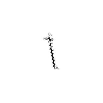 CCCCCCCCCCCCN=CCOC(=O)C(C)O